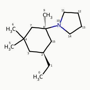 CC[C@H]1CC(C)(C)C[C@@](C)(N2CCCC2)C1